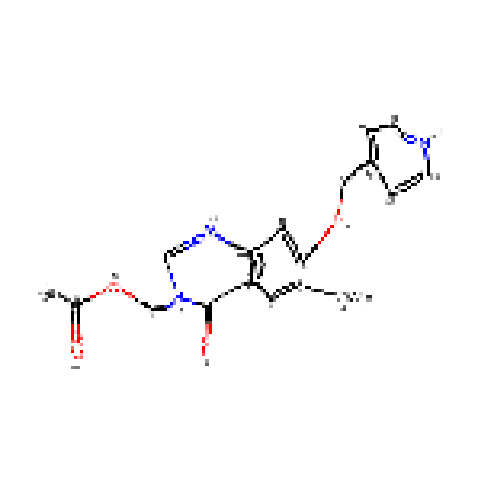 COc1cc2c(=O)n(COC(=O)C(C)(C)C)cnc2cc1OCc1ccncc1